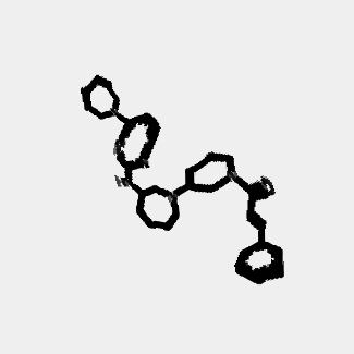 O=C(/C=C/c1ccccc1)N1CCCC(N2CCCCC(Nc3nccc(N4CCCCCC4)n3)C2)C1